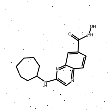 O=C(NO)c1ccc2ncc(NC3CCCCCC3)nc2c1